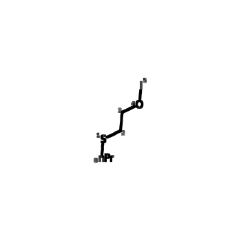 CCCSCCOI